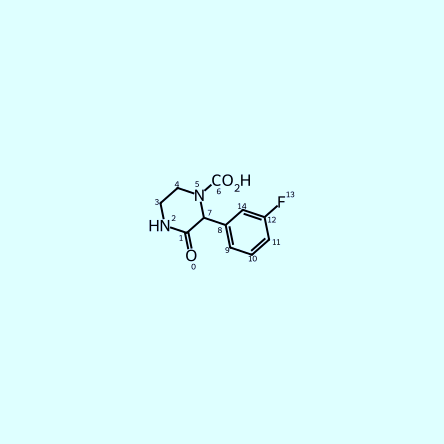 O=C1NCCN(C(=O)O)C1c1cccc(F)c1